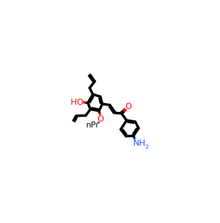 C=CCc1cc(C=CC(=O)c2ccc(N)cc2)c(OCCC)c(CC=C)c1O